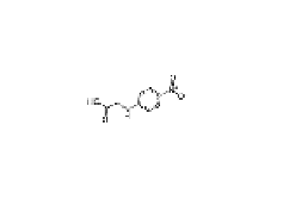 O=C(O)CNc1ccc([N+](=O)[O-])cc1